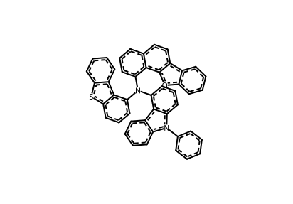 c1ccc(-n2c3ccccc3c3c(N(c4cccc5sc6ccccc6c45)c4cccc5ccc6c7ccccc7oc6c45)cccc32)cc1